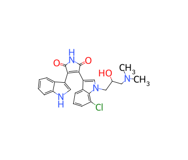 CN(C)CC(O)Cn1cc(C2=C(c3c[nH]c4ccccc34)C(=O)NC2=O)c2cccc(Cl)c21